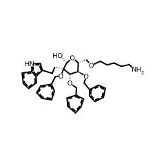 NCCCCCOC[C@H]1O[C@@H](O)[C@](CCc2c[nH]c3ccccc23)(OCc2ccccc2)[C@@H](OCc2ccccc2)[C@@H]1OCc1ccccc1